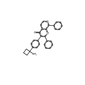 NC1(c2ccc(-c3c(-c4ccccc4)oc4c(-c5ccccc5)nccc4c3=O)cc2)CCC1